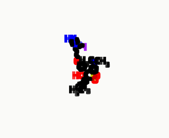 CCCCC1(CCCC)CS(=O)(=O)c2ccc(N(C)C)cc2[C@@H](c2ccc(OCCCC[N+]3(CCI)CCNCC3)cc2)[C@H]1O